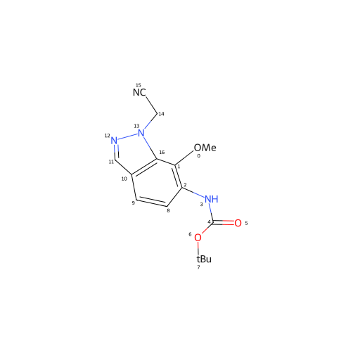 COc1c(NC(=O)OC(C)(C)C)ccc2cnn(CC#N)c12